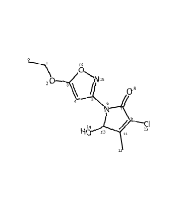 CCOc1cc(N2C(=O)C(Cl)=C(C)C2O)no1